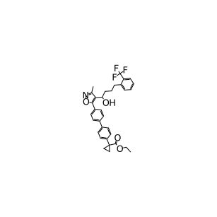 CCOC(=O)C1(c2ccc(-c3ccc(-c4onc(C)c4C(O)CCCc4ccccc4C(F)(F)F)cc3)cc2)CC1